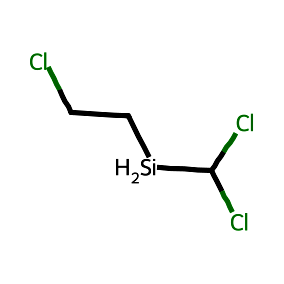 ClCC[SiH2]C(Cl)Cl